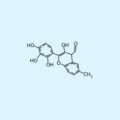 Cc1ccc2c(c1)C(C=O)C(O)=C(c1ccc(O)c(O)c1O)O2